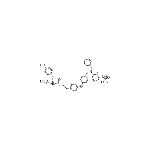 Cc1c(NS(C)(=O)=O)cccc1N(Cc1ccccc1)Cc1ccc(Oc2ccc(CCCC(=O)N[C@@H](Cc3ccc(O)cc3)C(=O)O)cc2)cc1